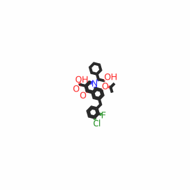 CC(C)Oc1cc(Cc2cccc(Cl)c2F)cc2c(=O)c(C(=O)O)cn(C(CO)C3CCCCC3)c12